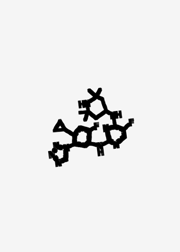 CC1(C)CC(Nc2nc(Nc3cc(-n4cnnn4)c(C4CC4)cc3F)ncc2F)CC(C)(C)N1